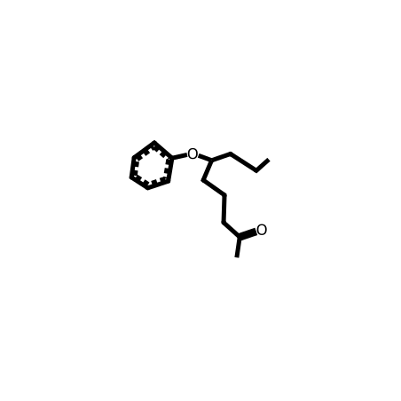 CCCC(CCCC(C)=O)Oc1ccccc1